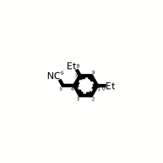 CCc1ccc(CC#N)c(CC)c1